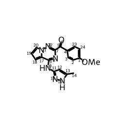 COc1ccc(C(=O)c2nc(Nc3cc(C)[nH]n3)c3cccn3n2)cc1